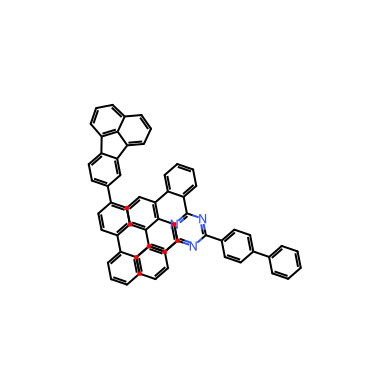 c1ccc(-c2ccc(-c3nc(-c4ccccc4)nc(-c4ccccc4-c4cccc5c(-c6ccccc6-c6ccc(-c7ccc8c(c7)-c7cccc9cccc-8c79)cc6)cccc45)n3)cc2)cc1